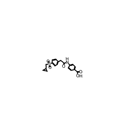 O=C(Cc1ccc(S(=O)(=O)CC2CC2)cc1)Nc1ccc(C(=O)O)cc1